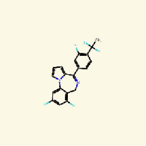 CC(F)(F)c1ccc(C2=NCc3c(F)cc(F)cc3-n3cccc32)cc1F